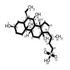 CC[C@@H]1C2C[C@H](O)CCC2(C)[C@H]2CCC3(C)[C@@H]([C@H](C)CCS(=O)(=O)O)CC[C@H]3C2[C@@H]1O